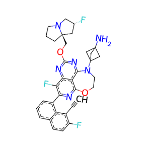 C#Cc1c(F)ccc2cccc(-c3nc4c5c(nc(OC[C@@]67CCCN6C[C@H](F)C7)nc5c3F)N(C35CC(N)(C3)C5)CCO4)c12